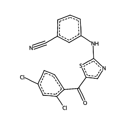 N#Cc1cccc(Nc2ncc(C(=O)c3ccc(Cl)cc3Cl)s2)c1